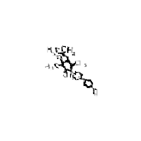 Cc1c(C)c(N2CCN(c3ccc(Cl)cc3)CC2)c(C)c2c1OC(C)(C)C2